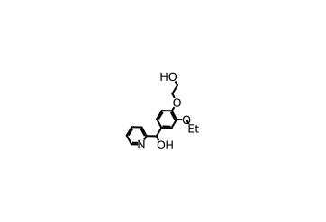 CCOc1cc(C(O)c2ccccn2)ccc1OCCO